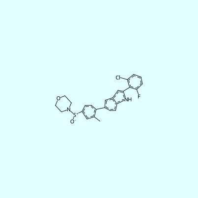 Cc1cc([S+]([O-])N2CCOCC2)ccc1-c1ccc2[nH]c(-c3c(F)cccc3Cl)cc2c1